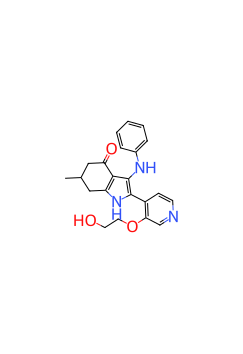 CC1CC(=O)c2c([nH]c(-c3ccncc3OCCO)c2Nc2ccccc2)C1